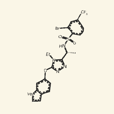 CCn1c(Oc2ccc3cc[nH]c3c2)nnc1[C@@H](C)NS(=O)(=O)c1ccc(C(F)(F)F)cc1Br